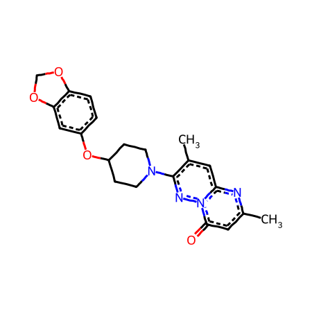 Cc1cc(=O)n2nc(N3CCC(Oc4ccc5c(c4)OCO5)CC3)c(C)cc2n1